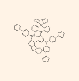 c1ccc(-c2ccc(N3B4c5cccc6c5N(c5ccccc5C65c6ccccc6-c6ccccc65)c5cc(N(c6ccc(-c7ccccc7)cc6)c6ccc(-c7ccccc7)cc6)cc(c54)-c4c3ccc3oc5ccccc5c43)cc2)cc1